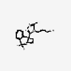 CCCCn1c(C)nnc1C1(c2ccccc2C(F)(F)F)CCC1